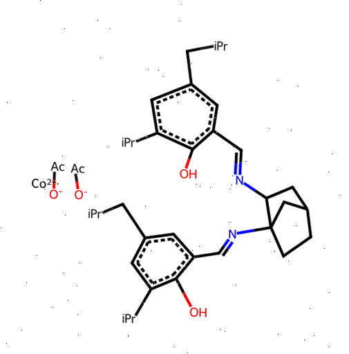 CC(=O)[O-].CC(=O)[O-].CC(C)Cc1cc(C=NC2CC3CCC2(N=Cc2cc(CC(C)C)cc(C(C)C)c2O)C3)c(O)c(C(C)C)c1.[Co+2]